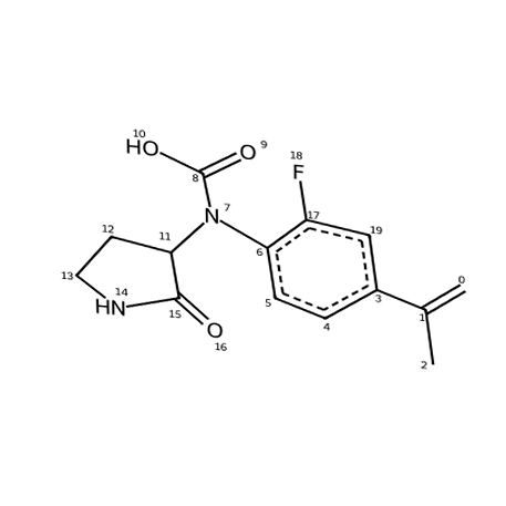 C=C(C)c1ccc(N(C(=O)O)C2CCNC2=O)c(F)c1